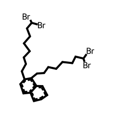 BrC(Br)CCCCCCCc1ccc2ccccc2c1CCCCCCCC(Br)Br